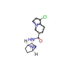 O=C(N[C@@H]1C[C@H]2CC[C@@H]1N2)c1ccc2c(Cl)ccn2c1